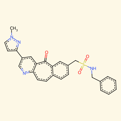 Cn1ccc(-c2cnc3ccc4ccc(CS(=O)(=O)NCc5ccccc5)cc4c(=O)c3c2)n1